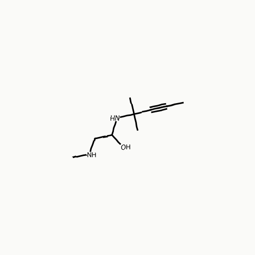 CC#CC(C)(C)NC(O)CNC